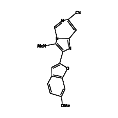 CNc1c(-c2cc3ccc(OC)cc3o2)nc2cc(C#N)ncn12